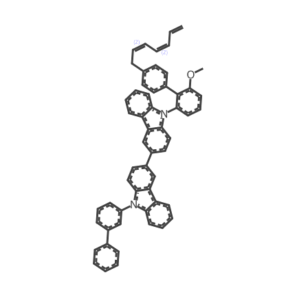 C=C/C=C\C=C/Cc1ccc(-c2c(OC)cccc2-n2c3ccccc3c3cc(-c4ccc5c(c4)c4ccccc4n5-c4cccc(-c5ccccc5)c4)ccc32)cc1